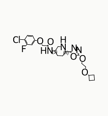 O=C(COc1ccc(Cl)c(F)c1)N[C@H]1CC[C@H](c2nnc(OCCOC3CCC3)o2)NC1